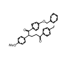 COc1ccc(C(CCC(=O)c2ccc(F)cc2)C(=O)c2ccc(OCc3ccccc3)cc2)cc1